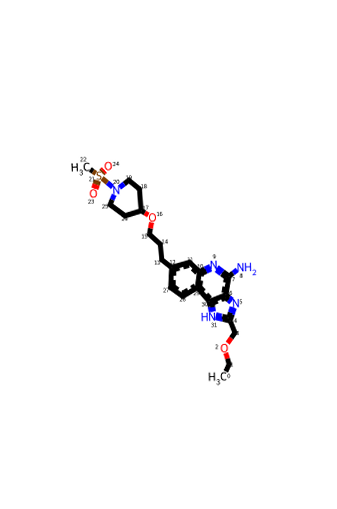 CCOCc1nc2c(N)nc3cc(CCCOC4CCN(S(C)(=O)=O)CC4)ccc3c2[nH]1